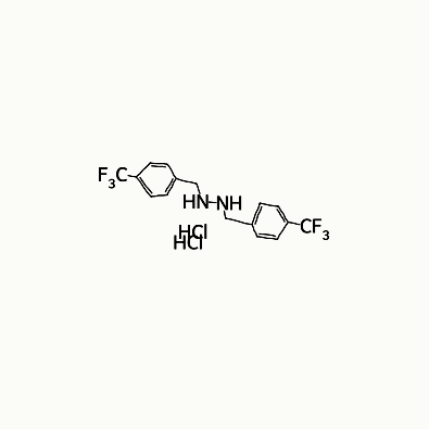 Cl.Cl.FC(F)(F)c1ccc(CNNCc2ccc(C(F)(F)F)cc2)cc1